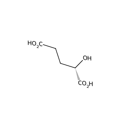 O=C(O)CC[C@H](O)C(=O)O